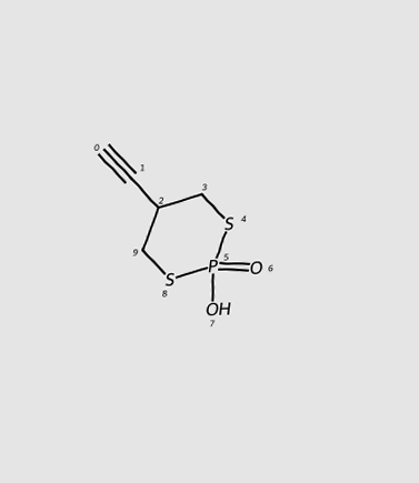 C#CC1CSP(=O)(O)SC1